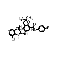 CC1(C)Cc2c3c(cc(C(=O)Nc4ccc(F)cc4)c2O1)NC(Nc1c(Cl)cncc1Cl)N3